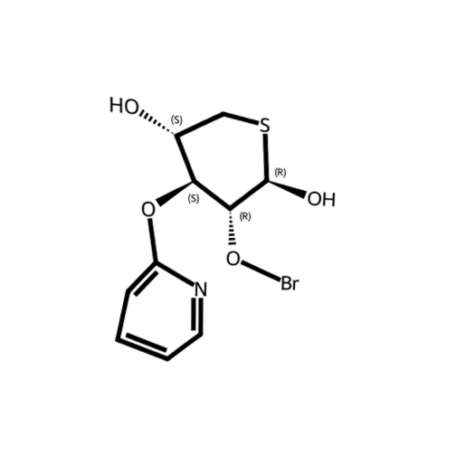 O[C@@H]1CS[C@@H](O)[C@H](OBr)[C@H]1Oc1ccccn1